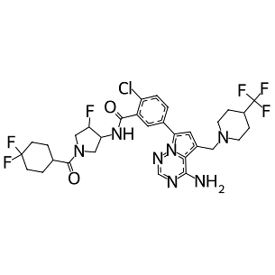 Nc1ncnn2c(-c3ccc(Cl)c(C(=O)NC4CN(C(=O)C5CCC(F)(F)CC5)CC4F)c3)cc(CN3CCC(C(F)(F)F)CC3)c12